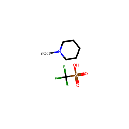 CCCCCCCCN1CCCCC1.O=S(=O)(O)C(F)(F)F